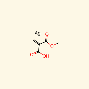 C=C(C(=O)O)C(=O)OC.[Ag]